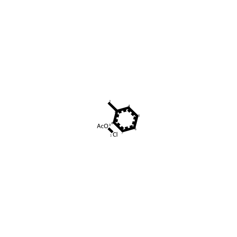 CC(=O)OCl.Cc1ccccc1